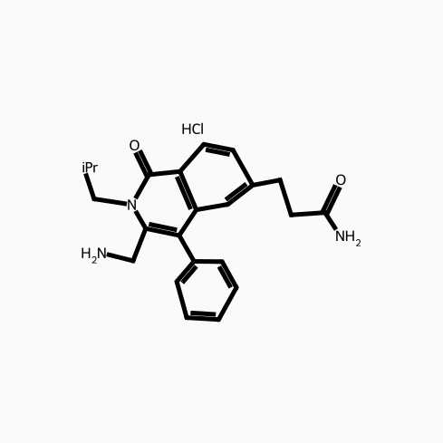 CC(C)Cn1c(CN)c(-c2ccccc2)c2cc(CCC(N)=O)ccc2c1=O.Cl